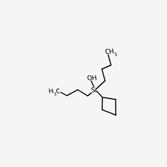 CCCC[Si](O)(CCCC)C1CCC1